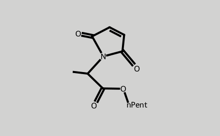 CCCCCOC(=O)C(C)N1C(=O)C=CC1=O